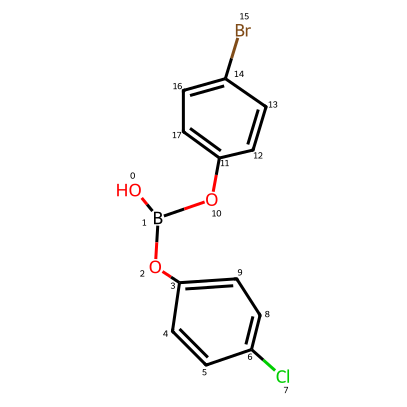 OB(Oc1ccc(Cl)cc1)Oc1ccc(Br)cc1